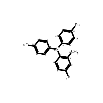 Cc1cc(F)ccc1N(c1ccc(F)cc1)c1ccc(F)cc1